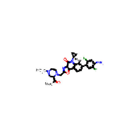 COC(=O)C1CN(C(=O)O)CCN1Cc1nc2c(=O)n(C3CC3)c3c(C)c(-c4cc(F)c(N)cc4F)ccc3c2o1